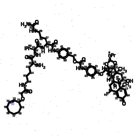 CCCC1O[C@@H]2C[C@H]3[C@@H]4C[C@H](F)C5=CC(=O)C=C[C@]5(C)[C@@]4(F)[C@@H](O)C[C@]3(C)[C@]2(C(=O)COc2ccc(NC(=O)OCc3ccc(NC(=O)[C@H](CCCNC(N)=O)NC(=O)[C@@H](NC(=O)[C@@H](N)CCCCNC(=O)COC4/C=C\CCCCC4)C(C)C)cc3)cc2)O1